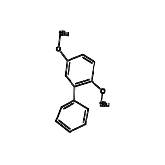 CC(C)(C)Oc1ccc(OC(C)(C)C)c(-c2ccccc2)c1